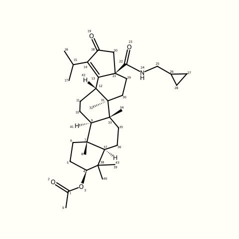 CC(=O)O[C@H]1CC[C@]2(C)[C@H]3CC[C@@H]4C5=C(C(C)C)C(=O)C[C@]5(C(=O)NCC5CC5)CC[C@@]4(C)[C@]3(C)CC[C@H]2C1(C)C